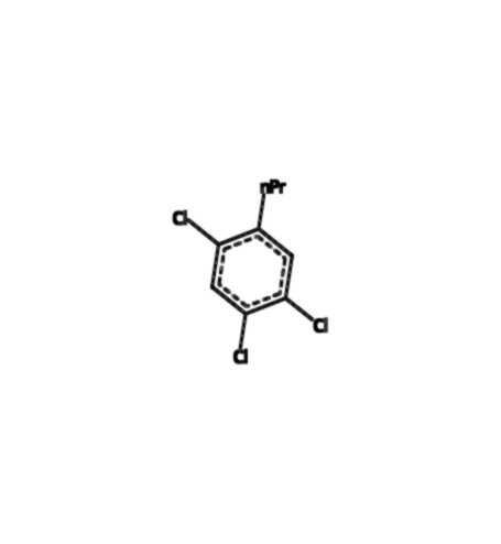 C[CH]Cc1cc(Cl)c(Cl)cc1Cl